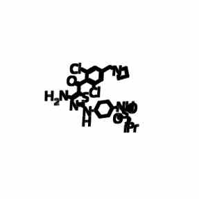 CC(C)CS(=O)(=O)N[C@H]1CC[C@H](Nc2nc(N)c(C(=O)c3c(Cl)cc(CN4CCC4)cc3Cl)s2)CC1